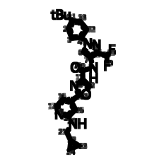 CC(C)(C)c1ccc(-n2cc(NC(=O)c3coc(-c4ccnc(NCC5CC5)c4)n3)c(C(F)F)n2)cc1